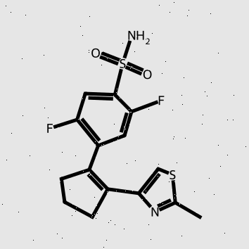 Cc1nc(C2=C(c3cc(F)c(S(N)(=O)=O)cc3F)CCC2)cs1